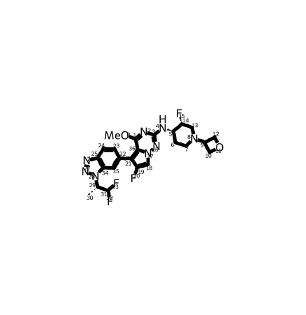 COc1nc(N[C@H]2CCN(C3COC3)C[C@H]2F)nn2cc(F)c(-c3ccc4nnn([C@@H](C)C(F)F)c4c3)c12